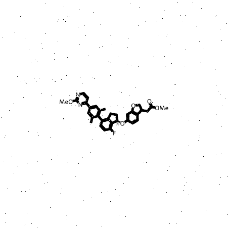 COC(=O)CC1COc2cc(O[C@@H]3CCc4c(-c5c(C)cc(-c6ccnc(OC)n6)cc5C)ccc(F)c43)ccc21